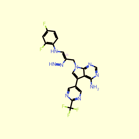 N=N/C(=C\Nc1ccc(F)cc1F)Cn1cc(-c2cnc(C(F)(F)F)nc2)c2c(N)ncnc21